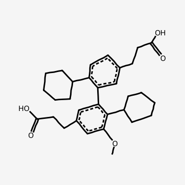 COc1cc(CCC(=O)O)cc(-c2cc(CCC(=O)O)ccc2C2CCCCC2)c1C1CCCCC1